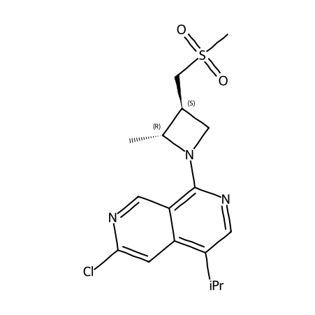 CC(C)c1cnc(N2C[C@H](CS(C)(=O)=O)[C@H]2C)c2cnc(Cl)cc12